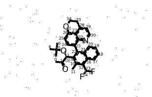 CC(=O)[C@@H](OC(C)(C)C)c1c(C)c(C(F)F)c2ccccc2c1-c1ccc2c3c(ccnc13)CCO2